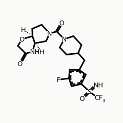 N=S(=O)(c1cc(F)cc(CC2CCN(C(=O)N3CC[C@@H]4OCC(=O)N[C@@H]4C3)CC2)c1)C(F)(F)F